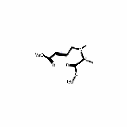 COC(=O)/C=C/CN(C)[C@@H](C)C(=O)OC(C)(C)C